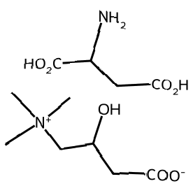 C[N+](C)(C)CC(O)CC(=O)[O-].NC(CC(=O)O)C(=O)O